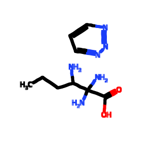 CCCC(N)C(N)(N)C(=O)O.c1cnnnc1